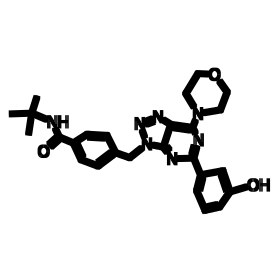 CC(C)(C)NC(=O)c1ccc(Cn2nnc3c(N4CCOCC4)nc(-c4cccc(O)c4)nc32)cc1